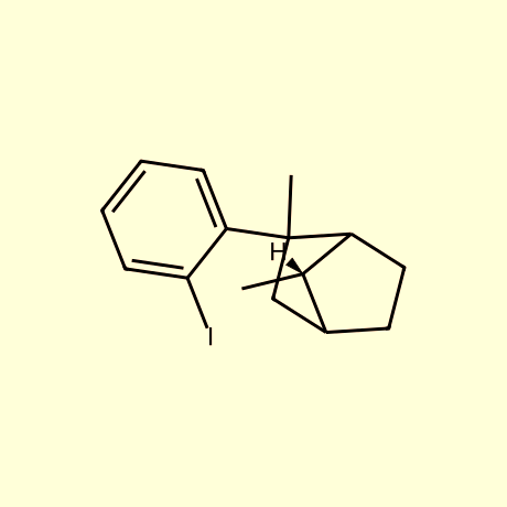 C[C@H]1C2CCC1C(C)(c1ccccc1I)C2